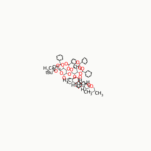 CC1O[C@@H](OC2C(OC(=O)c3ccccc3)[C@H](OC(=O)c3ccccc3)C(CO[Si](C)(C)C(C)(C)C)O[C@H]2O[C@H]2CC[C@@]3(C)C(=CC[C@H]4[C@@H]5C[C@@H]6O[C@]7(CC[C@@H](C)CO7)[C@@H](C)[C@@H]6[C@@]5(C)CC[C@@H]43)C2)C(OC(=O)c2ccccc2)C(OC(=O)c2ccccc2)[C@H]1OC(=O)c1ccccc1